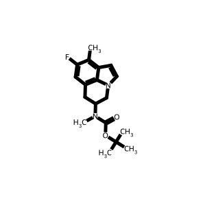 Cc1c(F)cc2c3c1ccn3CC(N(C)C(=O)OC(C)(C)C)C2